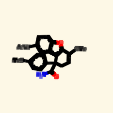 COC1=CCC(C(N)=O)(c2ccc(OC)cc2)c2c1oc1ccc(NC(C)=O)cc21